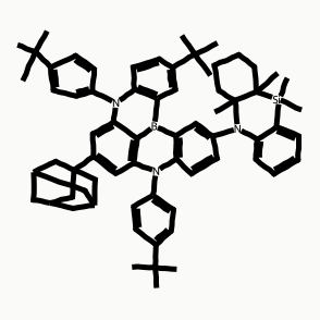 CC(C)(C)c1ccc(N2c3ccc(N4c5ccccc5[Si](C)(C)C5(C)CCCCC45C)cc3B3c4cc(C(C)(C)C)ccc4N(c4ccc(C(C)(C)C)cc4)c4cc(C56CC7CC(CC(C7)C5)C6)cc2c43)cc1